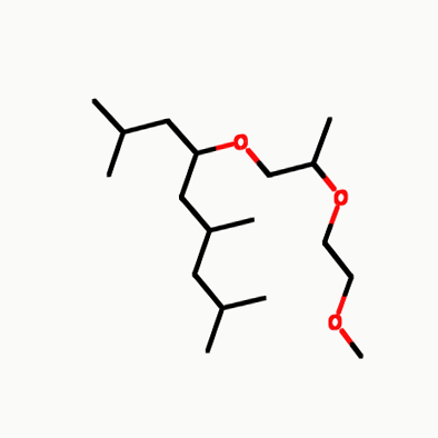 COCCOC(C)COC(CC(C)C)CC(C)CC(C)C